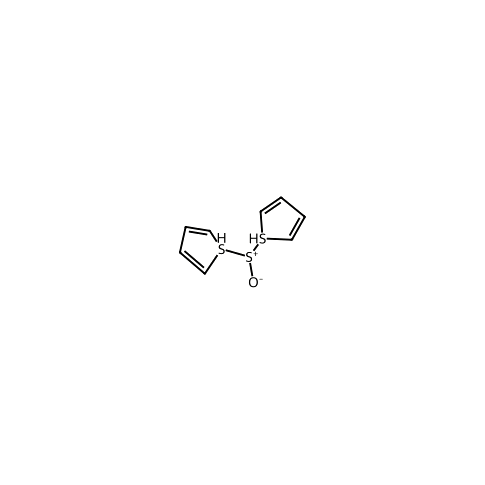 [O-][S+]([SH]1C=CC=C1)[SH]1C=CC=C1